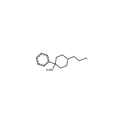 CC(=O)CCN1CCC(NC(C)=O)(c2ccccc2)CC1